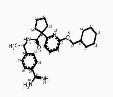 C[C@H](NC(=O)C1(c2cccc(OCC3CCCCC3)n2)CCCC1)c1ccc(C(=N)N)cc1